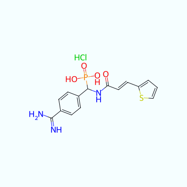 Cl.N=C(N)c1ccc(C(NC(=O)/C=C/c2cccs2)P(=O)(O)O)cc1